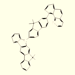 CC1(C)c2cc(-c3cccc4ccc5cccnc5c34)ccc2-c2ccc(-n3c4ccccc4c4cc5c(cc43)C(C)(C)c3ccccc3-5)cc21